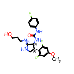 COc1cc(F)c([C@@H]2CN/C(=N\CCCO)[C@H]2NC(=O)Nc2ccc(F)cc2)c(F)c1